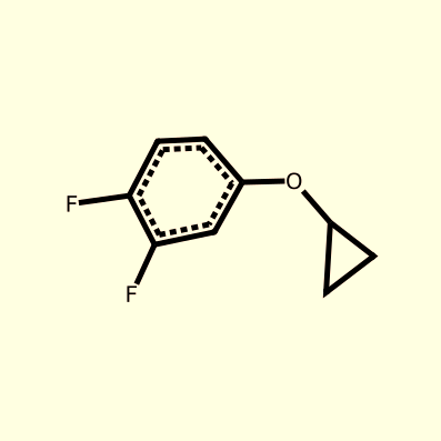 Fc1ccc(OC2CC2)cc1F